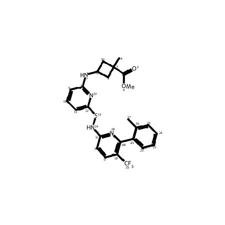 COC(=O)C1(C)CC(Nc2cccc(SNc3ccc(C(F)(F)F)c(-c4ccccc4C)n3)n2)C1